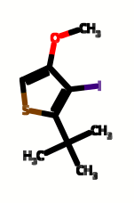 COc1csc(C(C)(C)C)c1I